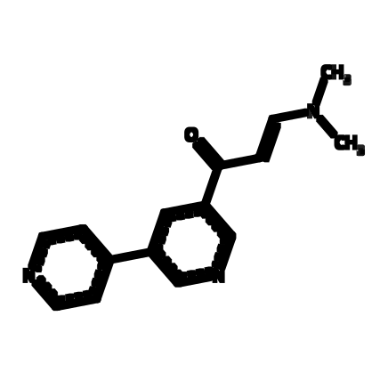 CN(C)C=CC(=O)c1cncc(-c2ccncc2)c1